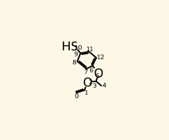 C=COC(C)Oc1ccc(S)cc1